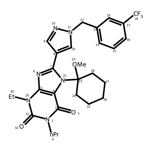 CCCn1c(=O)c2c(nc(-c3cnn(Cc4cccc(C(F)(F)F)c4)c3)n2C2(OC)CCCCC2)n(CC)c1=O